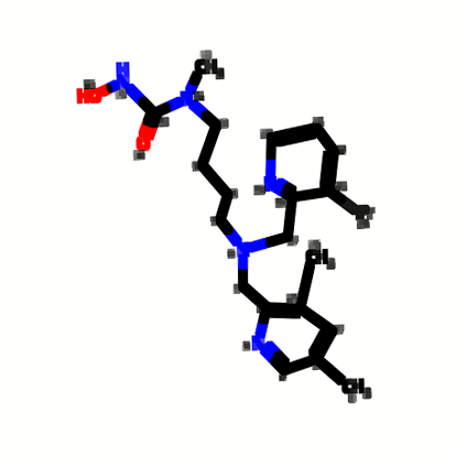 Cc1cnc(CN(CCCCN(C)C(=O)NO)Cc2ncccc2C(C)C)c(C)c1